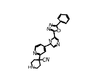 N#CC1(c2cc(-c3cncc(-c4nnc(-c5ccccc5)o4)n3)ccn2)CCNCC1